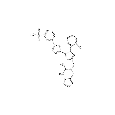 CC(C)N(Cc1cc(-c2ccc(-c3cccc(S(C)(=O)=O)c3)s2)n(-c2ccccc2Cl)n1)Cc1ccco1